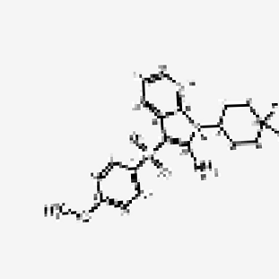 COc1ccc(S(=O)(=O)c2c(N)n(C3CCC(F)(F)CC3)c3ncccc23)cc1